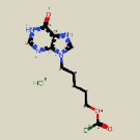 Cl.O=C(Cl)OCCCCCn1cnc2c(=O)[nH]cnc21